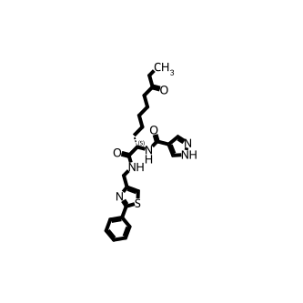 CCC(=O)CCCCC[C@H](NC(=O)c1cn[nH]c1)C(=O)NCc1csc(-c2ccccc2)n1